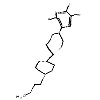 CCCC[C@H]1CC[C@H]([C@H]2CC[C@H](c3cc(F)c(F)nc3F)CC2)CC1